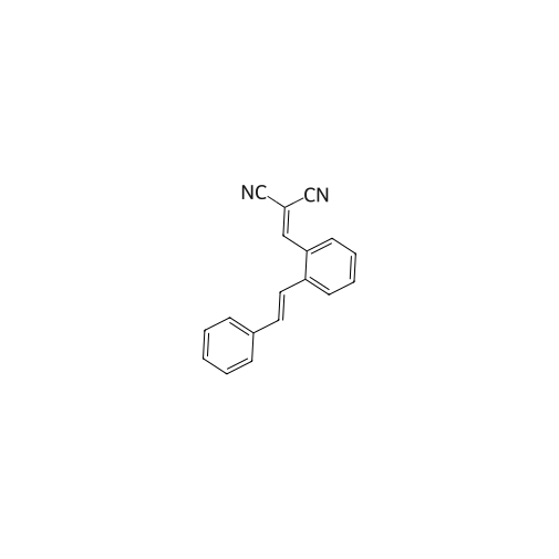 N#CC(C#N)=Cc1ccccc1C=Cc1ccccc1